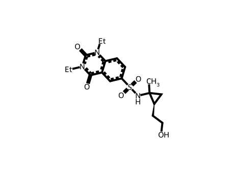 CCn1c(=O)c2cc(S(=O)(=O)NC3(C)C[C@H]3CCO)ccc2n(CC)c1=O